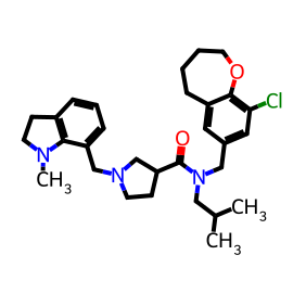 CC(C)CN(Cc1cc(Cl)c2c(c1)CCCCO2)C(=O)C1CCN(Cc2cccc3c2N(C)CC3)C1